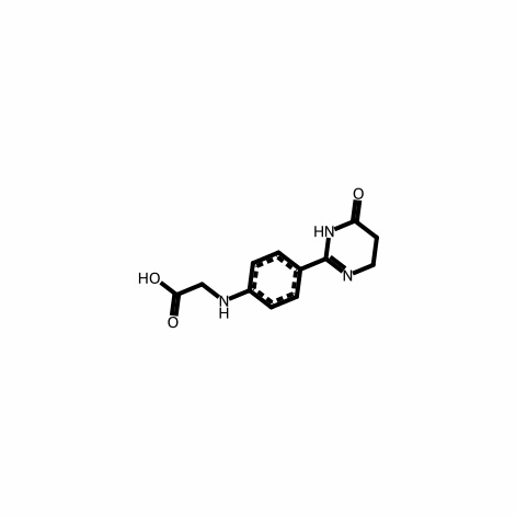 O=C(O)CNc1ccc(C2=NCCC(=O)N2)cc1